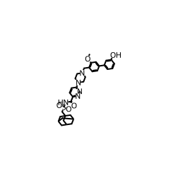 COc1cc(-c2cccc(O)c2)ccc1CN1CCN(c2ccc(C(=O)NS(=O)(=O)CC34CC5CC(CC(C5)C3)C4)nn2)CC1